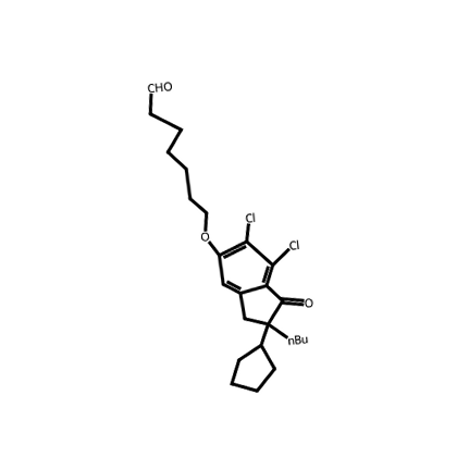 CCCCC1(C2CCCC2)Cc2cc(OCCCCCCC=O)c(Cl)c(Cl)c2C1=O